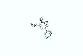 CCC(C)C(SC(=O)c1cccs1)C(=O)Cl